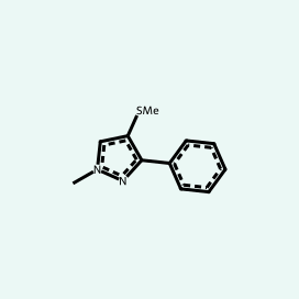 CSc1cn(C)nc1-c1ccccc1